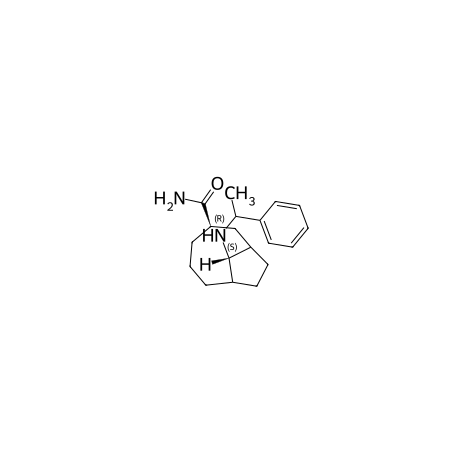 CC(N[C@H]1C2CCC[C@@H](C(N)=O)CC1CC2)c1ccccc1